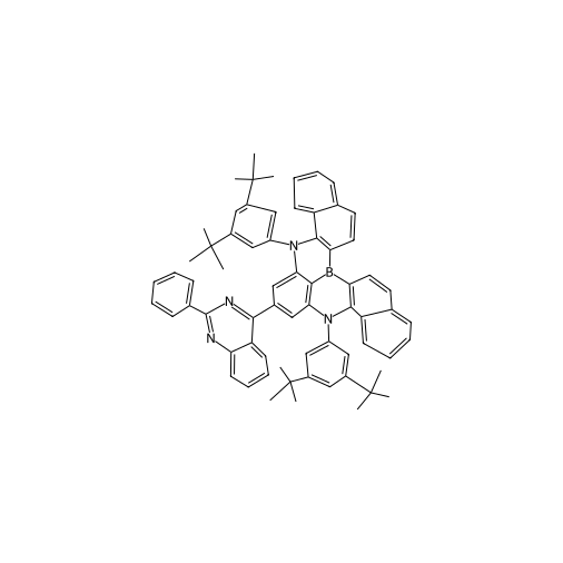 CC(C)(C)c1cc(N2c3cc(-c4nc(-c5ccccc5)nc5ccccc45)cc4c3B(c3ccc5ccccc5c32)c2ccc3ccccc3c2N4c2cc(C(C)(C)C)cc(C(C)(C)C)c2)cc(C(C)(C)C)c1